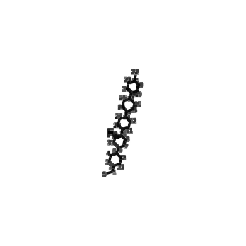 CCC1CCC(c2ccc(C3=CCC(C4CCC(c5ccc(C)cc5)CC4)CC3)c(F)c2)CC1